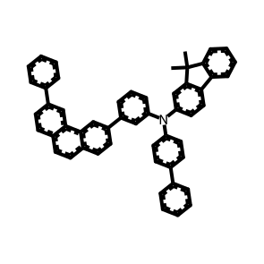 CC1(C)c2ccccc2-c2ccc(N(c3ccc(-c4ccccc4)cc3)c3cccc(-c4ccc5ccc6ccc(-c7ccccc7)cc6c5c4)c3)cc21